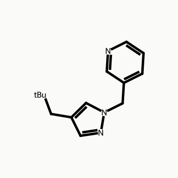 CC(C)(C)Cc1cnn(Cc2cccnc2)c1